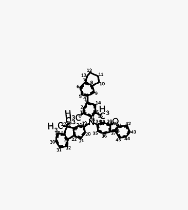 Cc1cc(-c2ccc3c(c2)CCCC3)cc(C)c1N(c1ccc2c(c1)C(C)(C)c1ccccc1-2)c1ccc2c(c1)oc1ccccc12